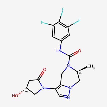 C[C@H]1Cn2ncc(N3C[C@H](O)CC3=O)c2CN1C(=O)Nc1cc(F)c(F)c(F)c1